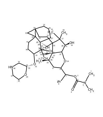 CC(C)C(OC(=O)N(C)C)C1C[C@@H](C)[C@H]2C(O1)[C@H](O)C(C)(C)C2(C)CCC12CCC[C@H]3C(C)(C)C(O[C@H]4CNCCO4)CCC31C2